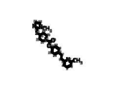 Cc1cccc(CCc2ccc(OC(=O)N3CCC(Sc4nccn4C)CC3)cc2)n1